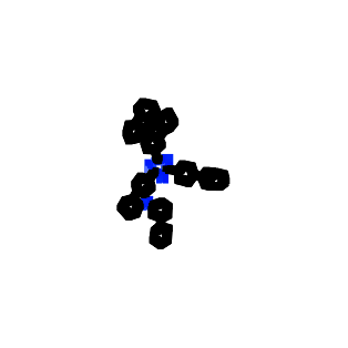 c1ccc(-c2cccc(-n3c4ccccc4c4ccc(-c5nc(-c6ccc(C78CC9CC(CC(C9)C7)C8)cc6)nc(-c6ccc7c(c6)-c6ccccc6C76c7ccccc7-c7ccccc76)n5)cc43)c2)cc1